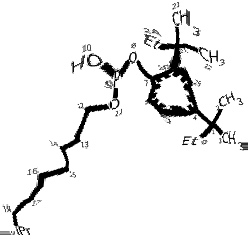 CCC(C)(C)c1ccc(OP(O)OCCCCCCCC(C)C)c(C(C)(C)CC)c1